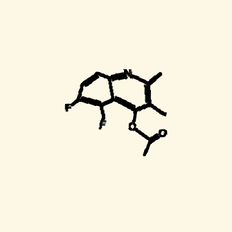 CC(=O)Oc1c(C)c(C)nc2ccc(F)c(F)c12